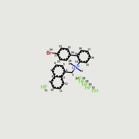 C[N+](C)(Cc1cccc2ccccc12)c1ccccc1-c1ccc(Br)cc1.F.F.F.F.F.F